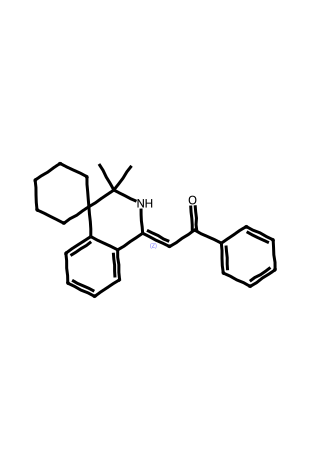 CC1(C)N/C(=C\C(=O)c2ccccc2)c2ccccc2C12CCCCC2